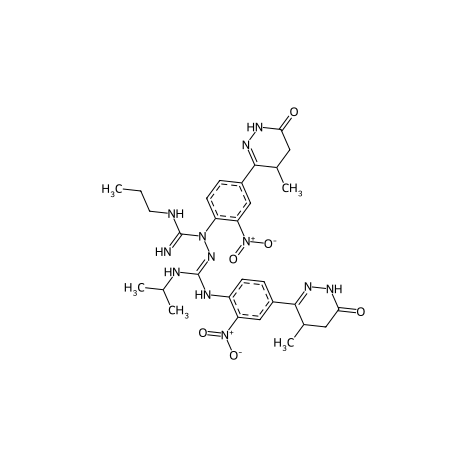 CCCNC(=N)N(N=C(Nc1ccc(C2=NNC(=O)CC2C)cc1[N+](=O)[O-])NC(C)C)c1ccc(C2=NNC(=O)CC2C)cc1[N+](=O)[O-]